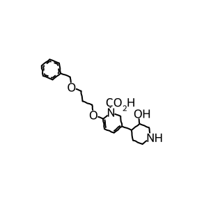 O=C(O)N1CC(C2CCNCC2O)=CC=C1OCCCOCc1ccccc1